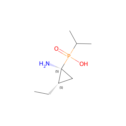 CC[C@H]1C[C@]1(N)P(=O)(O)C(C)C